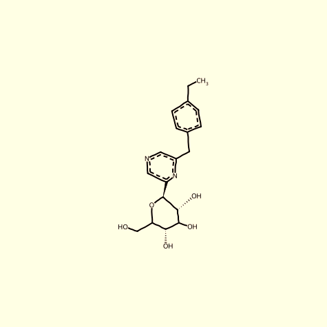 CCc1ccc(Cc2cncc([C@@H]3OC(CO)[C@@H](O)C(O)[C@H]3O)n2)cc1